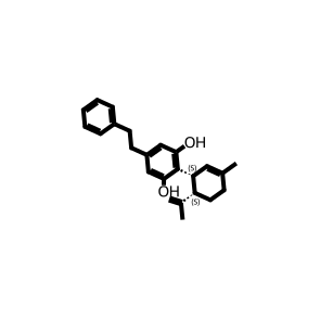 C=C(C)[C@H]1CCC(C)=C[C@H]1c1c(O)cc(CCc2ccccc2)cc1O